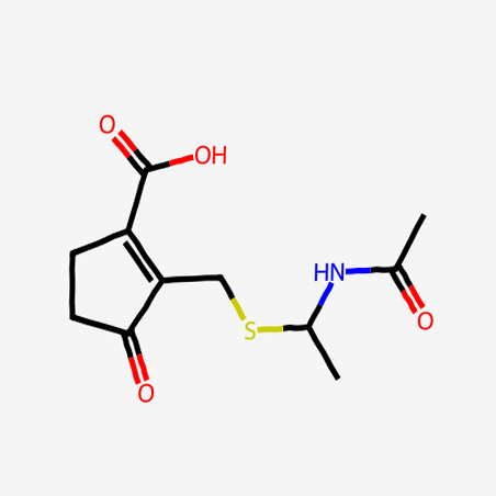 CC(=O)NC(C)SCC1=C(C(=O)O)CCC1=O